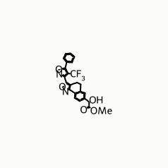 COC(=O)C(O)c1ccc2c(c1)CCc1c-2noc1-c1noc(-c2ccccc2)c1C(F)(F)F